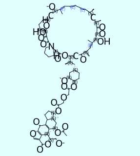 COC[C@H]1OC(=O)c2coc3c2[C@@]1(C)C1=C(C3=O)C2CC[C@H](OC(=O)COCC(=O)O[C@@H]3CC[C@@H](C[C@@H](C)[C@@H]4CC(=O)[C@H](C)/C=C(\C)[C@@H](O)[C@@H](OC)C(=O)[C@H](C)C[C@H](C)/C=C/C=C/C=C(\C)[C@@H](OC)C[C@@H]5CC[C@@H](C)[C@@](O)(O5)C(=O)C(=O)N5CCCC[C@H]5C(=O)O4)C[C@H]3OC)[C@@]2(C)C[C@H]1OC(C)=O